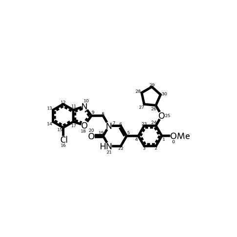 COc1ccc(C2=CN(Cc3nc4cccc(Cl)c4o3)C(=O)NC2)cc1OC1CCCC1